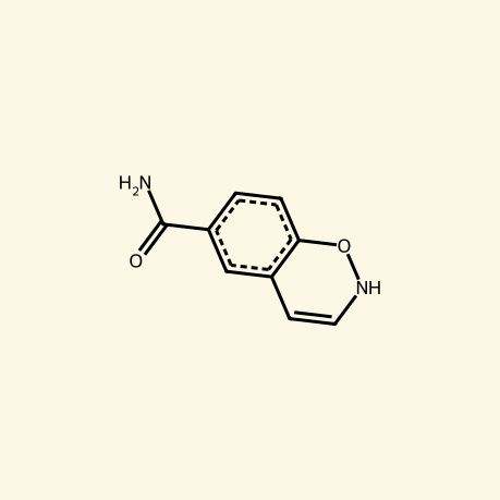 NC(=O)c1ccc2c(c1)C=CNO2